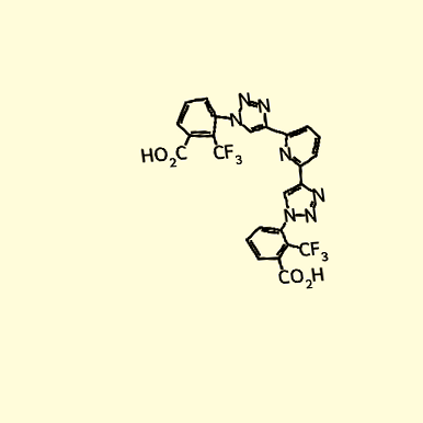 O=C(O)c1cccc(-n2cc(-c3cccc(-c4cn(-c5cccc(C(=O)O)c5C(F)(F)F)nn4)n3)nn2)c1C(F)(F)F